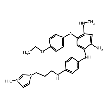 CCOc1ccc(Nc2cc(Nc3ccc(NCCCn4cc[n+](C)c4)cc3)c(N)cc2NC)cc1